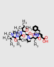 CC[C@H](C)[C@@H]([C@@H](CC(=O)N1CCC[C@H]1[C@H](OC)[C@@H](C)C(=O)N[C@H](/C=C/C(=O)O)Cc1ccccc1)OC)N(C)C(=O)[C@@H](NC(=O)[C@H](C(C)C)N(C)C)C(C)C